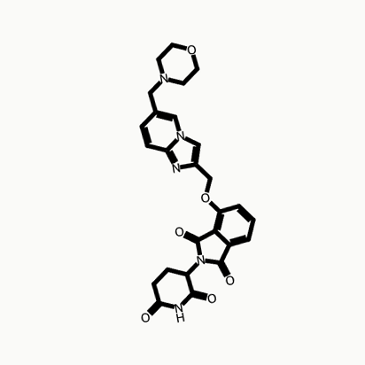 O=C1CCC(N2C(=O)c3cccc(OCc4cn5cc(CN6CCOCC6)ccc5n4)c3C2=O)C(=O)N1